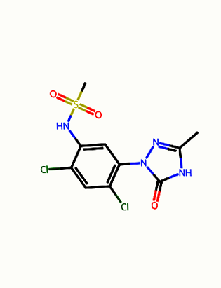 Cc1nn(-c2cc(NS(C)(=O)=O)c(Cl)cc2Cl)c(=O)[nH]1